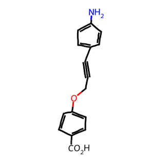 Nc1ccc(C#CCOc2ccc(C(=O)O)cc2)cc1